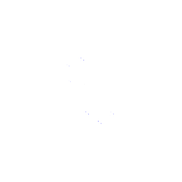 c1cc2[nH]nnc2c2[nH]nnc12